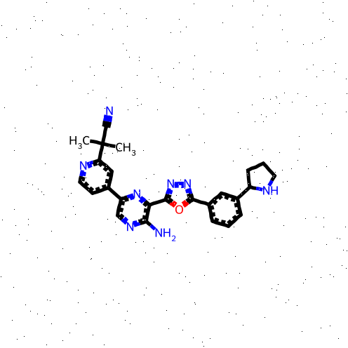 CC(C)(C#N)c1cc(-c2cnc(N)c(-c3nnc(-c4cccc(C5CCCN5)c4)o3)n2)ccn1